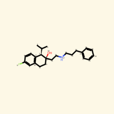 CC(C)[C@@H]1c2ccc(F)cc2CC[C@@]1(O)CCNCCCc1ccccc1